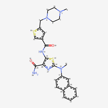 CN1CCN(Cc2cc(C(=O)Nc3sc(N(C)c4ccc5ccccc5c4)nc3C(N)=O)cs2)CC1